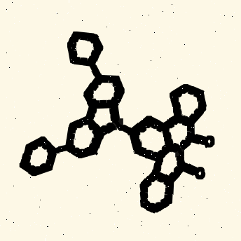 O=c1c2ccccc2c2cc(-n3c4ccc(-c5ccccc5)cc4c4cc(-c5ccccc5)ccc43)cc3c4ccccc4c(=O)n1c23